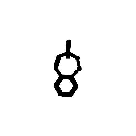 O=[PH]1C=Cc2ccccc2OO1